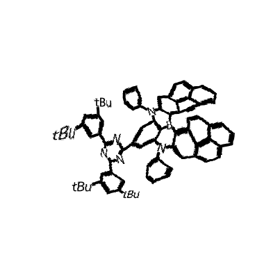 CC(C)(C)c1cc(-c2nc(-c3cc(C(C)(C)C)cc(C(C)(C)C)c3)nc(-c3cc4c5c(c3)N(c3ccccc3)c3cc6ccc7cccc8ccc(c3B5c3c(cc5ccc9cccc%10ccc3c5c9%10)N4c3ccccc3)c6c78)n2)cc(C(C)(C)C)c1